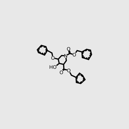 O=C(OCc1ccccc1)C1CN(C(=O)OCc2ccccc2)CC(OCc2ccccc2)C1O